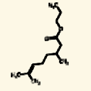 CCCOC(=O)CC(C)CCC=C(C)C